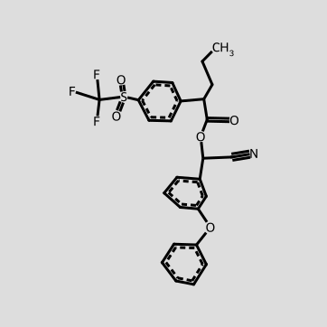 CCCC(C(=O)OC(C#N)c1cccc(Oc2ccccc2)c1)c1ccc(S(=O)(=O)C(F)(F)F)cc1